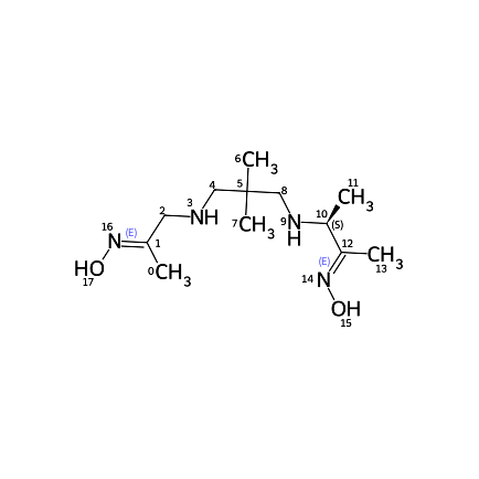 C/C(CNCC(C)(C)CN[C@@H](C)/C(C)=N/O)=N\O